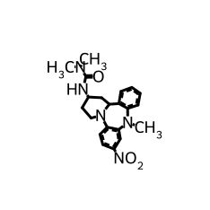 CN(C)C(=O)NC1CCN2c3ccc([N+](=O)[O-])cc3N(C)c3ccccc3C2C1